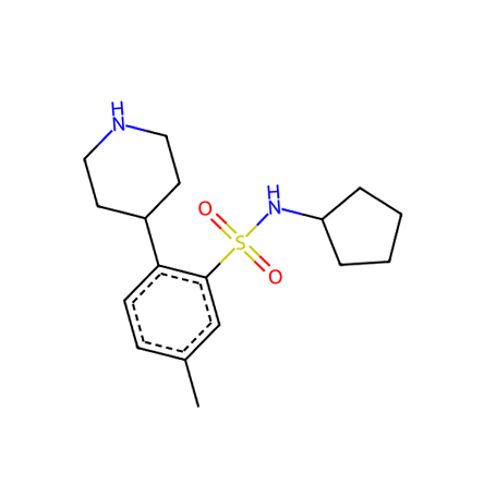 Cc1ccc(C2CCNCC2)c(S(=O)(=O)NC2CCCC2)c1